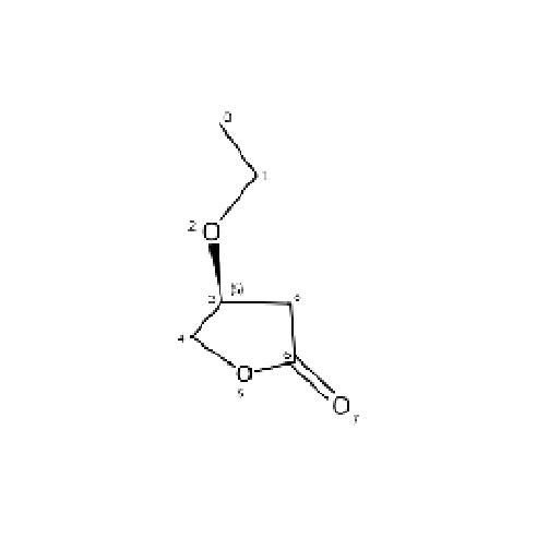 CCO[C@@H]1COC(=O)C1